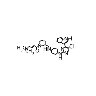 CN(C)C/C=C/C(=O)N1CCCC(CNC2CCC(Nc3ncc(Cl)c(-c4c[nH]c5ccccc45)n3)CC2)C1